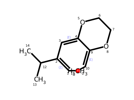 C\C=C(/C=C1/OCCO/C1=C/C)C(C)C